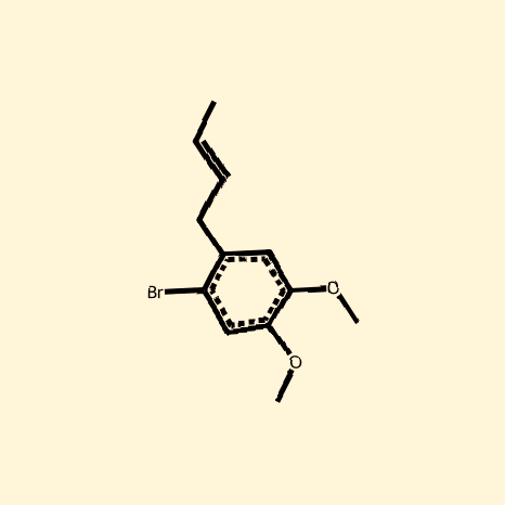 CC=CCc1cc(OC)c(OC)cc1Br